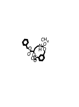 C.O=C1NCCC(C(=O)OCc2ccccc2)OS(=O)(=O)c2cccc(c2)CO1